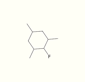 CC1CC(C)C(F)C(C)C1